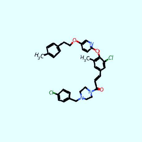 Cc1ccc(CCOc2ccc(Oc3c(C)cc(C=CC(=O)N4CCN(Cc5ccc(Cl)cc5)CC4)cc3Cl)nc2)cc1